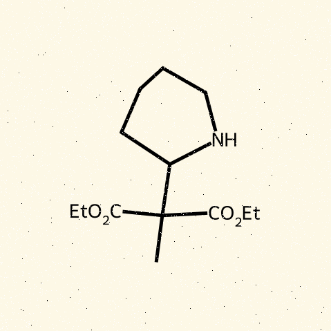 CCOC(=O)C(C)(C(=O)OCC)C1CCCCN1